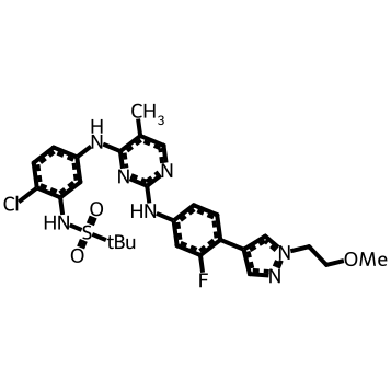 COCCn1cc(-c2ccc(Nc3ncc(C)c(Nc4ccc(Cl)c(NS(=O)(=O)C(C)(C)C)c4)n3)cc2F)cn1